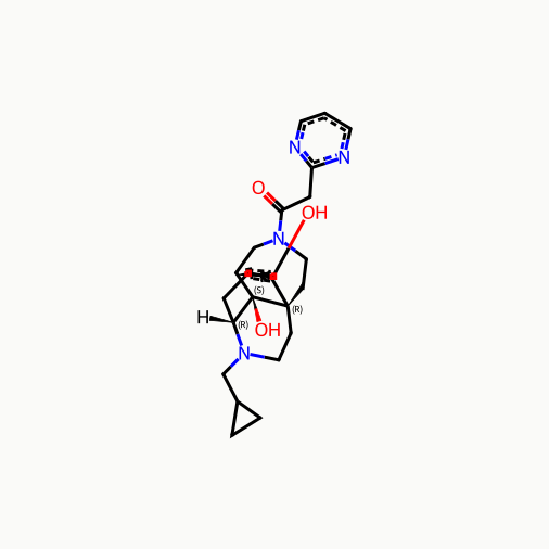 O=C(Cc1ncccn1)N1CC[C@]23CCN(CC4CC4)[C@H](Cc4ccc(O)cc42)[C@]3(O)CC1